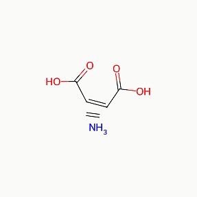 C=C.N.O=C(O)/C=C\C(=O)O